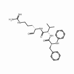 CC(C)[C@H](NC(=O)[C@H](Cc1ccccc1)Nc1ccccc1)C(=O)N[C@H]([C]=O)CCCNC(=N)N